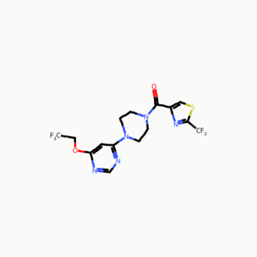 O=C(c1csc(C(F)(F)F)n1)N1CCN(c2cc(OCC(F)(F)F)ncn2)CC1